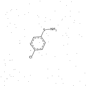 NSc1ccc(Cl)cc1